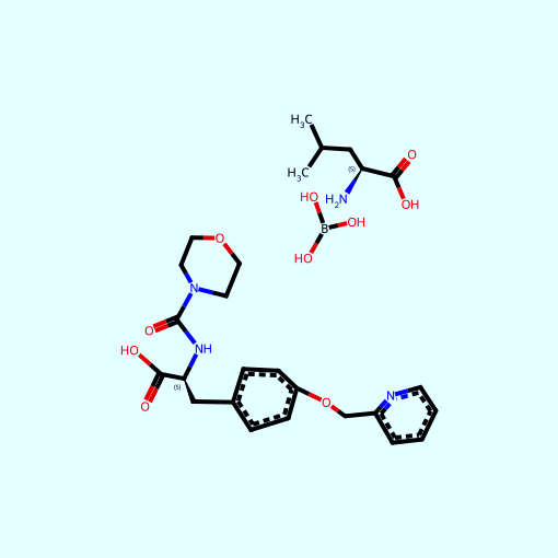 CC(C)C[C@H](N)C(=O)O.O=C(O)[C@H](Cc1ccc(OCc2ccccn2)cc1)NC(=O)N1CCOCC1.OB(O)O